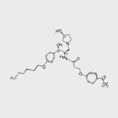 CCCCCCOc1ccc([C@@H](O)[C@@H](CN2CC[C@H](O)C2)NC(=O)CCOc2ccc(OC)cc2)cc1